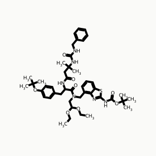 CCOC(CN(Cc1cccc2sc(NC(=O)OC(C)(C)C)nc12)C(=O)C(Cc1ccc(OC(C)(C)C)cc1)NC(=O)CC(C)(C)NC(=O)NCc1ccccc1)OCC